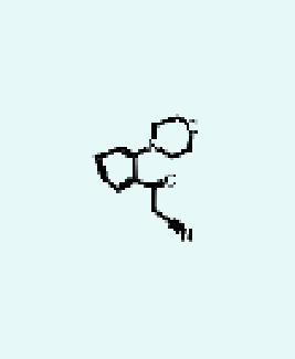 N#CCC(=O)c1ccccc1N1CCOCC1